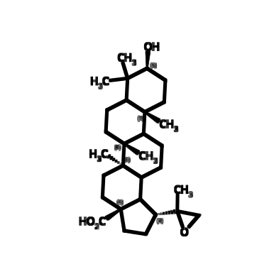 CC1([C@@H]2CC[C@]3(C(=O)O)CC[C@]4(C)C(CCC5[C@@]6(C)CC[C@H](O)C(C)(C)C6CC[C@]54C)C23)CO1